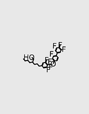 CCCCC(CO)CCCc1cc(F)c(C(F)(F)Oc2ccc(-c3cc(F)c(F)c(F)c3)c(F)c2)c(F)c1